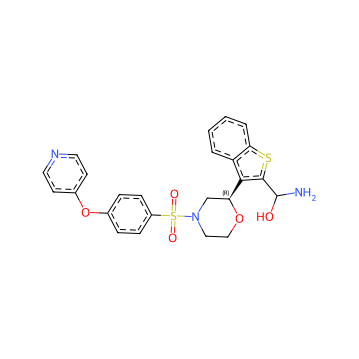 NC(O)c1sc2ccccc2c1[C@@H]1CN(S(=O)(=O)c2ccc(Oc3ccncc3)cc2)CCO1